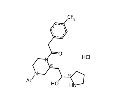 CC(=O)N1CCN(C(=O)Cc2ccc(C(F)(F)F)cc2)[C@@H](CC(O)[C@@H]2CCCN2)C1.Cl